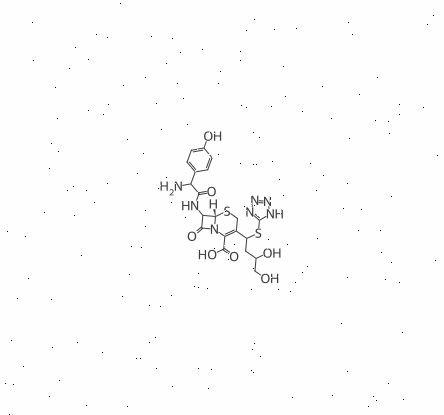 NC(C(=O)NC1C(=O)N2C(C(=O)O)=C(C(CC(O)CO)Sc3nnn[nH]3)CS[C@@H]12)c1ccc(O)cc1